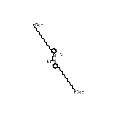 CCCCCCCCCCCCCCCCCCCCCCCc1cccc(N=CC(CC)=Nc2cccc(CCCCCCCCCCCCCCCCCCCCCCC)c2)c1.[Ni]